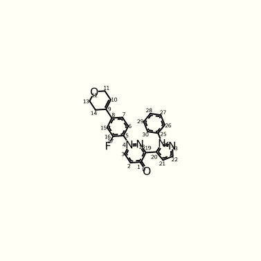 O=c1ccn(-c2ccc(C3=CCOCC3)cc2F)nc1-c1ccnn1-c1ccccc1